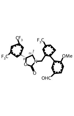 COc1ccc(C=O)cc1-c1ccc(C(F)(F)F)cc1CN1C(=O)O[C@H](c2cc(C(F)(F)F)cc(C(F)(F)F)c2)[C@@H]1C